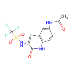 CC(=O)Nc1ccc2[nH]c(=O)c(NS(=O)(=O)C(F)(F)F)cc2c1